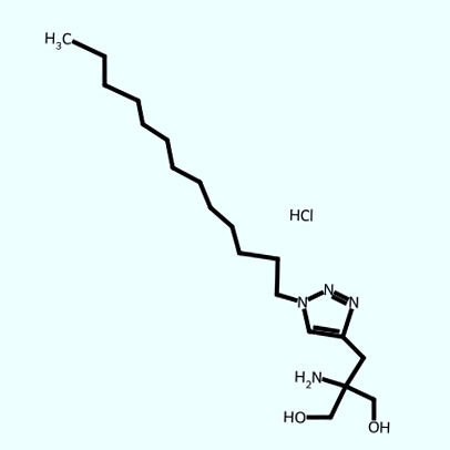 CCCCCCCCCCCCCn1cc(CC(N)(CO)CO)nn1.Cl